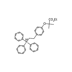 CCOC(=O)C(C)(C)Oc1ccc(CC[PH](c2ccccc2)(c2ccccc2)c2ccccc2)cc1